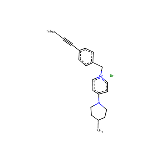 CCCCCCC#Cc1ccc(C[n+]2ccc(N3CCC(C)CC3)cc2)cc1.[Br-]